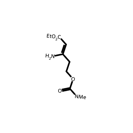 CCOC(=O)/C=C(\N)CCOC(=O)NC